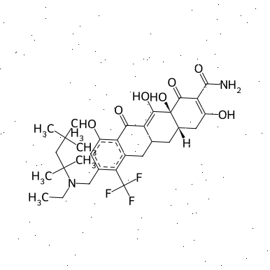 CCN(Cc1cc(O)c2c(c1C(F)(F)F)CC1C[C@H]3CC(O)=C(C(N)=O)C(=O)[C@@]3(O)C(O)=C1C2=O)C(C)(C)CC(C)(C)C